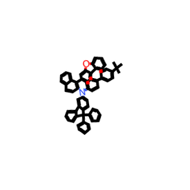 CC(C)(C)c1ccc(-c2ccc(N(c3ccc4c(c3)-c3ccccc3C4(c3ccccc3)c3ccccc3)c3ccc4ccccc4c3-c3ccc4c(c3)oc3ccccc34)cc2)cc1